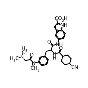 CN(C)CC(=O)N(C)c1cccc(CC(NC(=O)C2CCC(C#N)CC2)C(=O)Nc2ccc3[nH]c(C(=O)O)cc3c2)c1